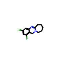 Clc1cc(Br)c2c(c1)N=C1CCCCCN1C2